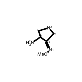 CON=C1C[N]CC1N